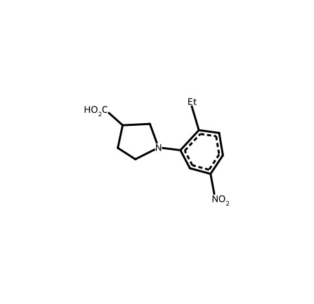 CCc1ccc([N+](=O)[O-])cc1N1CCC(C(=O)O)C1